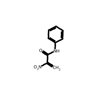 C=C(C(=O)Nc1ccccc1)[N+](=O)[O-]